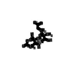 C=CC(=O)[O-].CC(=O)[O-].C[N+]1(C(=N)N)NO1.C[N+]1(C(=N)N)NO1